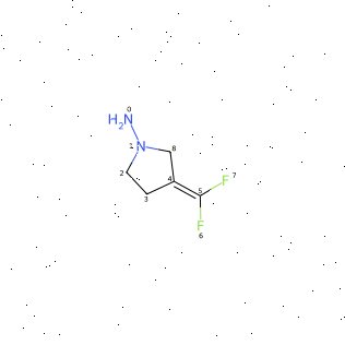 NN1CCC(=C(F)F)C1